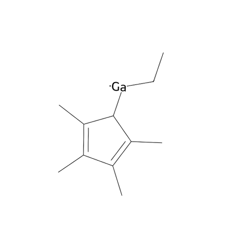 C[CH2][Ga][CH]1C(C)=C(C)C(C)=C1C